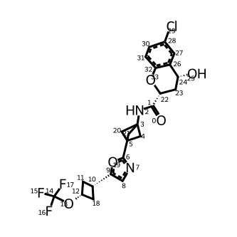 O=C(NC12CC(c3ncc([C@H]4C[C@@H](OC(F)(F)F)C4)o3)(C1)C2)[C@H]1C[C@@H](O)c2cc(Cl)ccc2O1